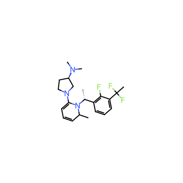 CC1C=CC=C(N2CC[C@@H](N(C)C)C2)N1[C@H](C)c1cccc(C(C)(F)F)c1F